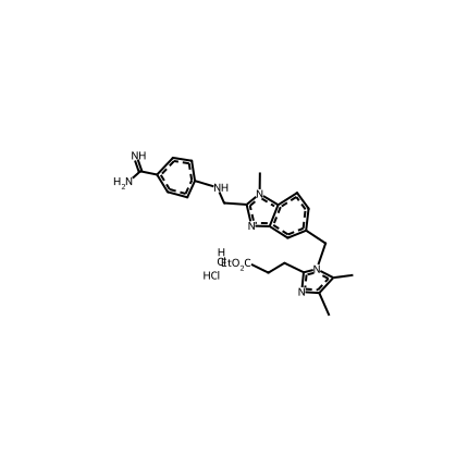 CCOC(=O)CCc1nc(C)c(C)n1Cc1ccc2c(c1)nc(CNc1ccc(C(=N)N)cc1)n2C.Cl.Cl